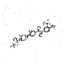 C[C@@H]1CN(C(=O)OC(C)(C)C)[C@@H](C)CN1c1ccc(C(=O)N(Cl)c2ccc(Br)c(C(F)(F)F)c2)cn1